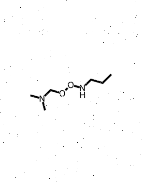 CCCNOOCN(C)C